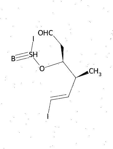 B#[SH](I)O[C@@H](CC=O)[C@@H](C)/C=C/I